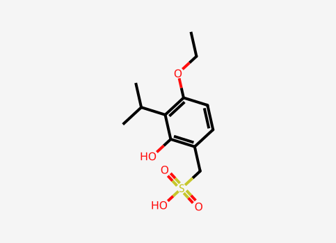 CCOc1ccc(CS(=O)(=O)O)c(O)c1C(C)C